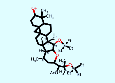 CC[Si](CC)(CC)O[C@H]1C2OC(C(OC(C)=O)C(C)(C)O[Si](CC)(CC)CC)C[C@@H](C)[C@@H]2C2(C)CCC34CC35CCC(O)C(C)(C)C5CCC4[C@]12C